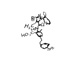 CCCc1ccc(CCc2cc(C(=O)O)c(NC(=O)c3c(C)c(Br)nn3-c3ncccc3Cl)s2)cc1